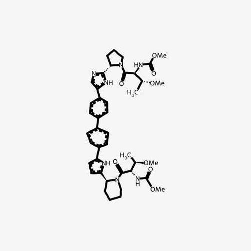 COC(=O)N[C@H](C(=O)N1CCCC[C@H]1c1ccc(-c2ccc(-c3ccc(-c4cnc([C@@H]5CCCN5C(=O)[C@@H](NC(=O)OC)[C@@H](C)OC)[nH]4)cc3)cc2)[nH]1)[C@@H](C)OC